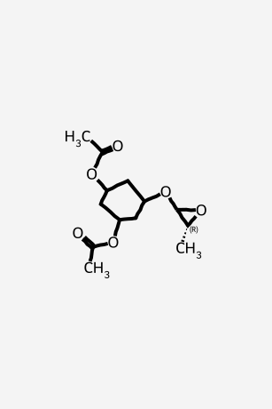 CC(=O)OC1CC(OC(C)=O)CC(OC2O[C@@H]2C)C1